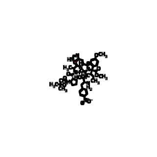 CCC(C)[C@](C(=O)OC)(c1ccc(OC)cc1)N(C(=O)CC(O)[C@@H](N)Cc1ccc([N+](=O)[O-])cc1)C(=O)[C@H](Cc1c[nH]cn1)NC(=O)C(C)NC(=O)[C@@H]1CCCN1C(=O)OC(C)(C)C